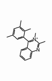 Cc1cc(C)c(C)c(-c2c3ccccc3nc(C)[n+]2C)c1